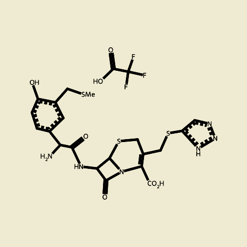 CSCc1cc(C(N)C(=O)NC2C(=O)N3C(C(=O)O)=C(CSc4cnn[nH]4)CSC23)ccc1O.O=C(O)C(F)(F)F